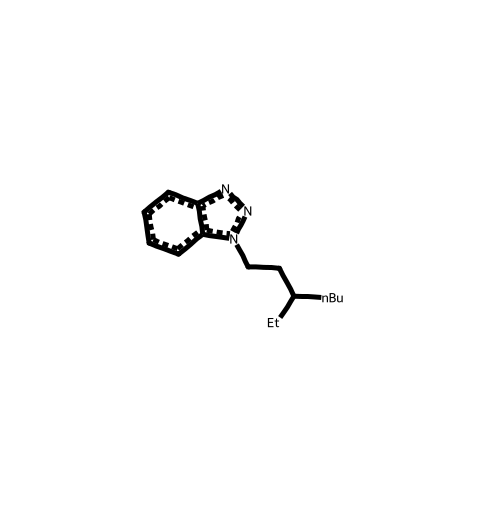 CCCCC(CC)CCn1nnc2ccccc21